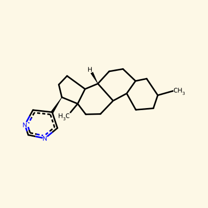 CC1CCC2C(CC[C@@H]3C2CCC2(C)C3CC[C@@H]2c2cncnc2)C1